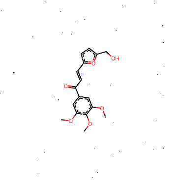 COc1cc(C(=O)/C=C/c2ccc(CO)o2)cc(OC)c1OC